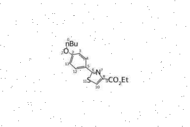 CCCCOc1ccc(-c2nc(C(=O)OCC)cs2)cc1